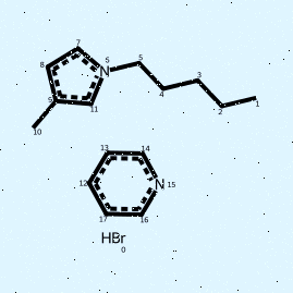 Br.CCCCCn1ccc(C)c1.c1ccncc1